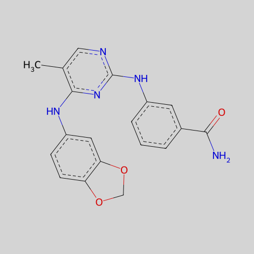 Cc1cnc(Nc2cccc(C(N)=O)c2)nc1Nc1ccc2c(c1)OCO2